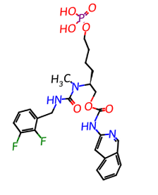 CN(C(=O)NCc1cccc(F)c1F)[C@@H](CCCCOP(=O)(O)O)COC(=O)Nc1cc2ccccc2cn1